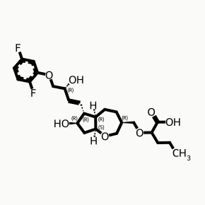 CCCC(OC[C@@H]1CC[C@@H]2[C@@H](C=C[C@@H](O)COc3cc(F)ccc3F)[C@H](O)C[C@@H]2OC1)C(=O)O